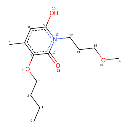 CCCCOc1c(C)cc(O)n(CCCOC)c1=O